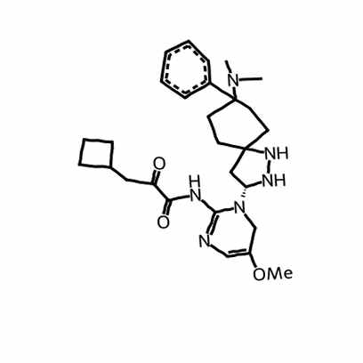 COC1=CN=C(NC(=O)C(=O)CC2CCC2)N([C@@H]2CC3(CCC(c4ccccc4)(N(C)C)CC3)NN2)C1